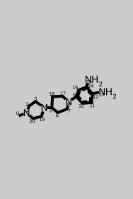 CN1CCN(C2CCN(c3ccc(N)c(N)c3)CC2)CC1